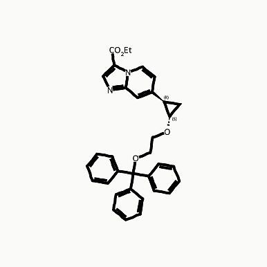 CCOC(=O)c1cnc2cc([C@H]3C[C@@H]3OCCOC(c3ccccc3)(c3ccccc3)c3ccccc3)ccn12